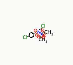 CS(=O)(=O)N(N(CCCl)S(=O)(=O)c1ccc(Cl)cc1)S(C)(=O)=O